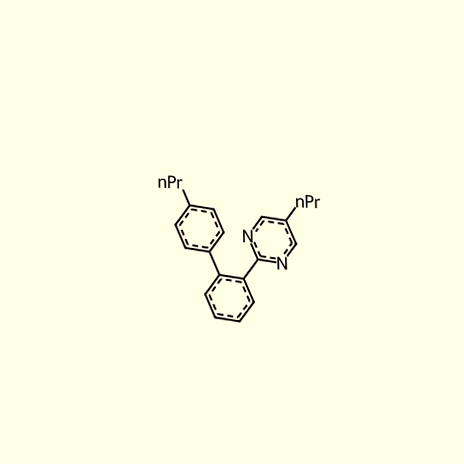 CCCc1ccc(-c2ccccc2-c2ncc(CCC)cn2)cc1